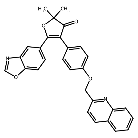 CC1(C)OC(c2ccc3ocnc3c2)=C(c2ccc(OCc3ccc4ccccc4n3)cc2)C1=O